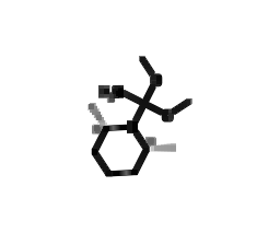 COC([SiH3])(OC)N1[C@H](C)CCC[C@@H]1C